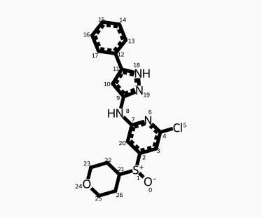 [O-][S+](c1cc(Cl)nc(Nc2cc(-c3ccccc3)[nH]n2)c1)C1CCOCC1